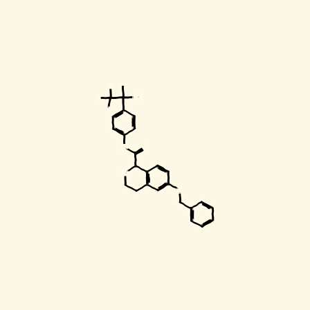 CC(O)(c1ccc(NC(=O)C2NCCc3cc(SCc4ccccc4)ccc32)cc1)C(F)(F)F